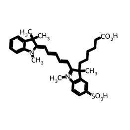 CN1\C(=C/C=C/C=C/C2=[N+](C)c3ccc(S(=O)(=O)O)cc3C2(C)CCCCCC(=O)O)C(C)(C)c2ccccc21